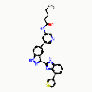 CCCCC(=O)Nc1cncc(-c2ccc3[nH]nc(-c4nc5c(-c6ccsc6)cccc5[nH]4)c3c2)c1